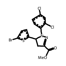 COC(=O)C1=NN(c2ccc(Cl)cc2Cl)C(c2ccc(Br)s2)C1